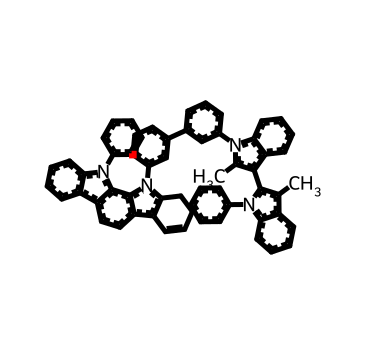 Cc1c(-c2c(C)n(-c3cccc(-c4cccc(-n5c6c(c7ccc8c9ccccc9n(-c9ccccc9)c8c75)C=CCC6)c4)c3)c3ccccc23)n(-c2ccccc2)c2ccccc12